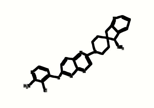 Nc1nccc(Sc2ccc3nc(N4CCC5(CC4)Cc4ncccc4[C@H]5N)cnc3n2)c1Cl